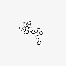 CC1(C)c2cccc(-c3ccc(N(c4ccc(-c5ccccc5)cc4)c4cccc5ccccc45)cc3)c2-c2sc3ccccc3c21